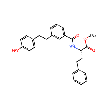 CC(C)(C)OC(=O)[C@H](CCc1ccccc1)NC(=O)c1cccc(CCc2ccc(O)cc2)c1